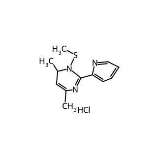 CSN1C(c2ccccn2)=NC(C)=CC1C.Cl